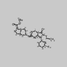 C=CCn1c(=O)c2cnc(Nc3ccc4c(cnn4C(=O)OC(C)(C)C)c3)nc2n1-c1cccc(F)n1